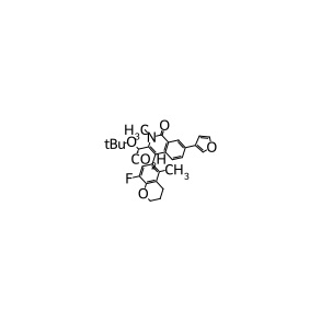 Cc1c(-c2c([C@H](OC(C)(C)C)C(=O)O)n(C)c(=O)c3cc(-c4ccoc4)ccc23)cc(F)c2c1CCCO2